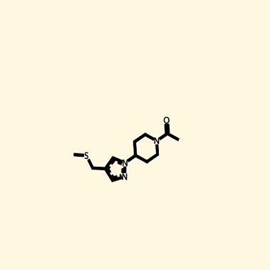 CSCc1cnn(C2CCN(C(C)=O)CC2)c1